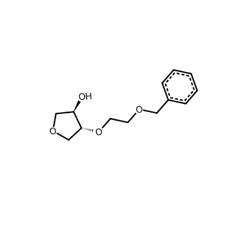 O[C@@H]1COC[C@H]1OCCOCc1ccccc1